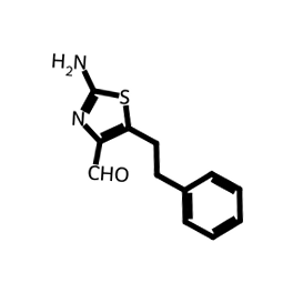 Nc1nc(C=O)c(CCc2ccccc2)s1